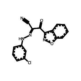 N#CC(=NNc1cccc(Cl)c1)C(=O)c1noc2ccccc12